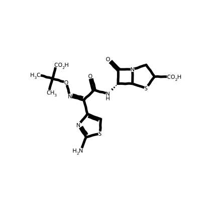 CC(C)(O/N=C(\C(=O)N[C@@H]1C(=O)N2CC(C(=O)O)SC12)c1csc(N)n1)C(=O)O